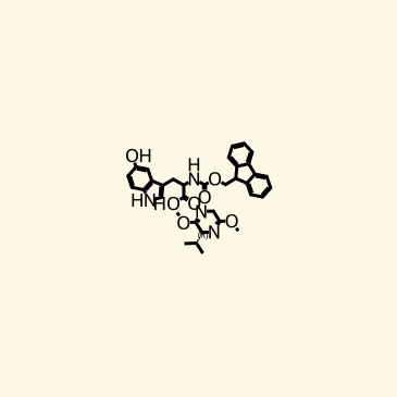 COC1=N[C@H](C(C)C)C(OC)=NC1.O=C(NC(Cc1c[nH]c2ccc(O)cc12)C(=O)O)OCC1c2ccccc2-c2ccccc21